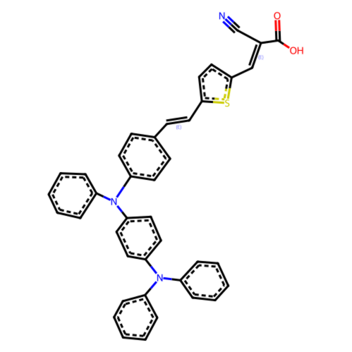 N#C/C(=C\c1ccc(/C=C/c2ccc(N(c3ccccc3)c3ccc(N(c4ccccc4)c4ccccc4)cc3)cc2)s1)C(=O)O